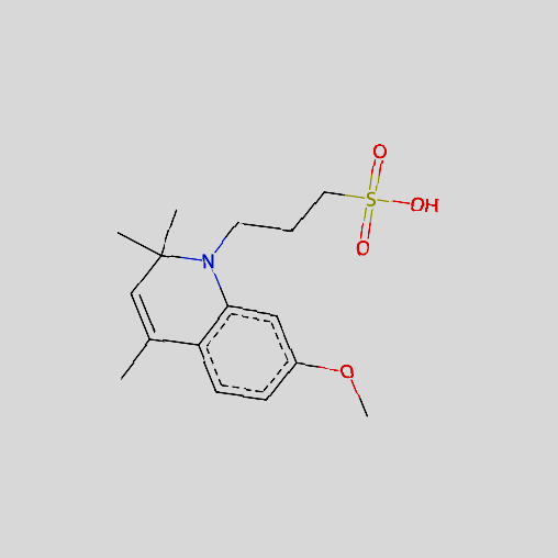 COc1ccc2c(c1)N(CCCS(=O)(=O)O)C(C)(C)C=C2C